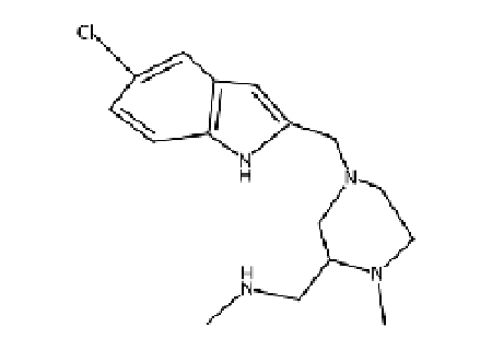 CNCC1CN(Cc2cc3cc(Cl)ccc3[nH]2)CCN1C